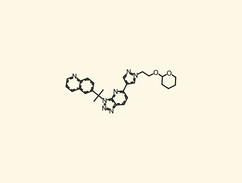 CC(C)(c1ccc2ncccc2c1)n1nnc2ccc(-c3cnn(CCOC4CCCCO4)c3)nc21